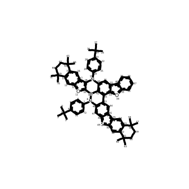 CC(C)(C)c1ccc(N2B3c4oc5cc6c(cc5c4N(c4ccc(C(C)(C)C)cc4)c4cc5c(oc7ccccc75)c(c43)-c3cc4c(cc32)sc2cc3c(cc24)C(C)(C)CCC3(C)C)C(C)(C)CCC6(C)C)cc1